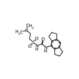 CN(C)CCS(=O)(=O)NC(=O)Nc1c2c(cc3c1CCC3)CCC2